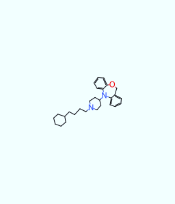 c1ccc2c(c1)COc1ccccc1N2C1CCN(CCCCC2CCCCC2)CC1